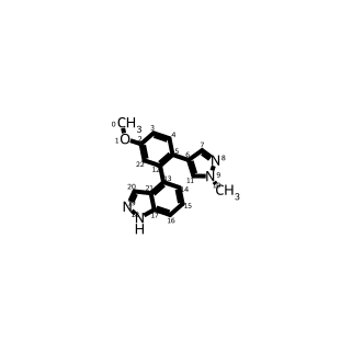 COc1ccc(-c2cnn(C)c2)c(-c2cccc3[nH]ncc23)c1